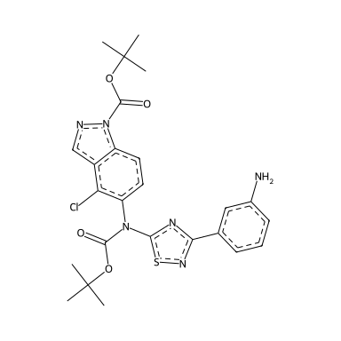 CC(C)(C)OC(=O)N(c1nc(-c2cccc(N)c2)ns1)c1ccc2c(cnn2C(=O)OC(C)(C)C)c1Cl